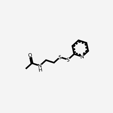 CC(=O)NCCSSc1ccccn1